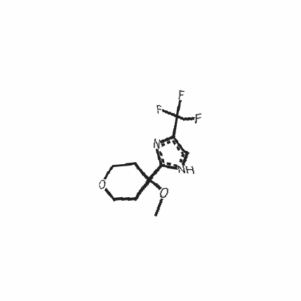 COC1(c2nc(C(F)(F)F)c[nH]2)CCOCC1